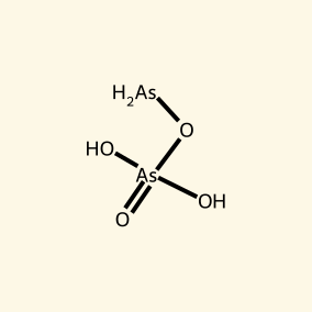 O=[As](O)(O)O[AsH2]